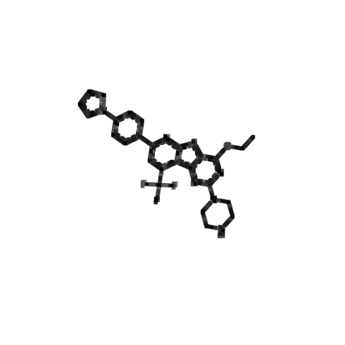 CCOc1nc(N2CCNCC2)nc2c1sc1nc(-c3ccc(-n4cccc4)cc3)cc(C(F)(F)F)c12